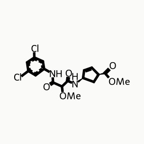 COC(=O)[C@@H]1C=C[C@H](NC(=O)C(OC)C(=O)Nc2cc(Cl)cc(Cl)c2)C1